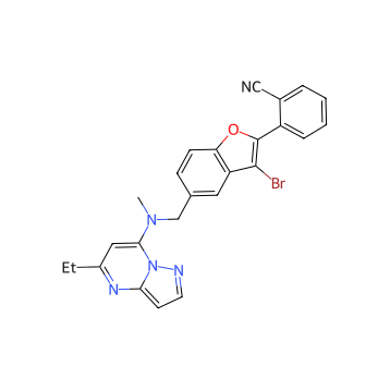 CCc1cc(N(C)Cc2ccc3oc(-c4ccccc4C#N)c(Br)c3c2)n2nccc2n1